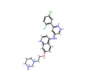 Fc1ccc(Cl)cc1-c1cc(Nc2ccnc3cc(OCCN4CCCNC4)ccc23)cnn1